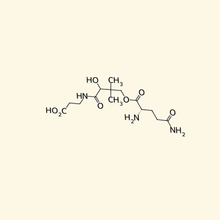 CC(C)(COC(=O)[C@@H](N)CCC(N)=O)C(O)C(=O)NCCC(=O)O